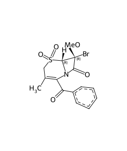 CO[C@@]1(Br)C(=O)N2C(C(=O)c3ccccc3)=C(C)CS(=O)(=O)[C@@H]21